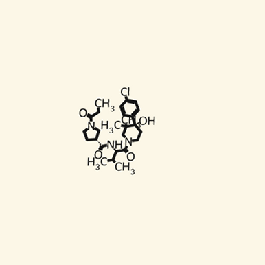 CCC(=O)N1CC[C@@H](C(=O)N[C@@H](C(=O)N2CC[C@](O)(c3ccc(Cl)cc3)C(C)(C)C2)C(C)C)C1